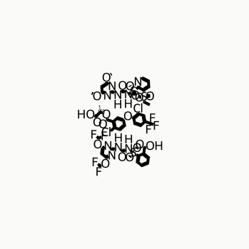 CCS(=O)(=O)c1cccnc1S(=O)(=O)NC(=O)Nc1nc(OC)cc(OC)n1.C[C@H](OC(=O)c1cc(Oc2ccc(C(F)(F)F)cc2Cl)ccc1Cl)C(=O)O.O=C(Nc1nc(OC(F)F)cc(OC(F)F)n1)NS(=O)(=O)c1ccccc1C(=O)O